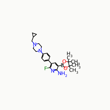 CC1(C)OB(c2cc(-c3ccc(N4CCN(CC5CC5)CC4)cc3)c(F)nc2N)OC1(C)C